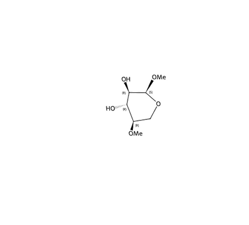 CO[C@H]1OC[C@@H](OC)[C@H](O)[C@H]1O